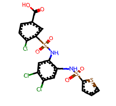 O=C(O)c1ccc(Cl)c(S(=O)(=O)Nc2cc(Cl)c(Cl)cc2NS(=O)(=O)c2cccs2)c1